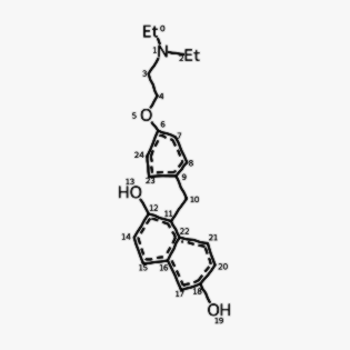 CCN(CC)CCOc1ccc(Cc2c(O)ccc3cc(O)ccc23)cc1